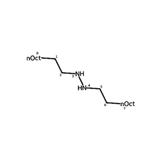 CCCCCCCCCCNNCCCCCCCCCC